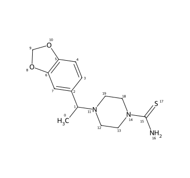 CC(c1ccc2c(c1)OCO2)N1CCN(C(N)=S)CC1